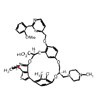 C=Nc1scc2c1/C(=N\C)O[C@@H](C(=O)O)Cc1cc(ccc1OCc1ccnc(-c3ccccc3OC)n1)OC[C@@H](CN1CCN(C)CC1)Oc1ccc-2c(C)c1Cl